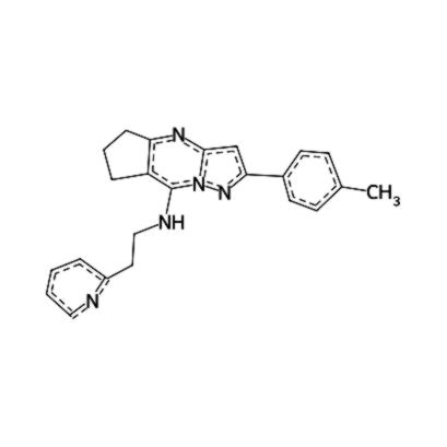 Cc1ccc(-c2cc3nc4c(c(NCCc5ccccn5)n3n2)CCC4)cc1